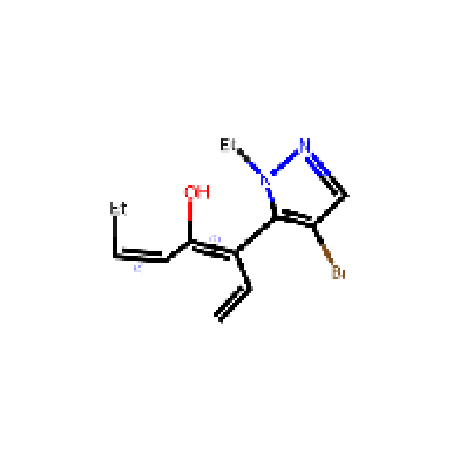 C=C/C(=C(O)\C=C/CC)c1c(Br)cnn1CC